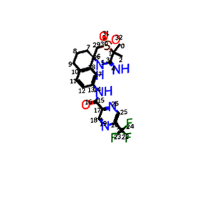 CC1(C)C(=N)N[C@@]2(CCCc3ccc(NC(=O)c4cnc(C(F)(F)F)cn4)cc32)CS1(=O)=O